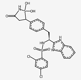 O=C1CC(c2ccc(C[C@H](NS(=O)(=O)c3ccc(Cl)cc3Cl)c3nc4ccccc4[nH]3)cc2)S(O)(O)N1